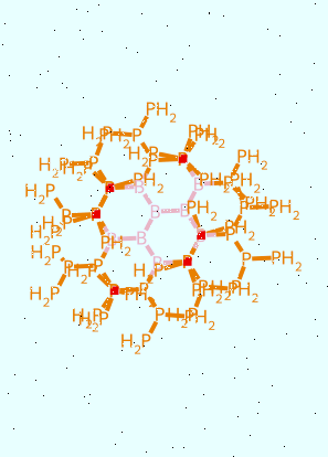 PP(P)B(B(B(B(B(P(P(P)P)P(P)P)P(P(P)P)P(P)P)B(P(P(P)P)P(P)P)P(P(P)P)P(P)P)B(P(P(P)P)P(P)P)P(P(P)P)P(P)P)B(P(P)P)P(P(P)P)P(P)P)P(P)P